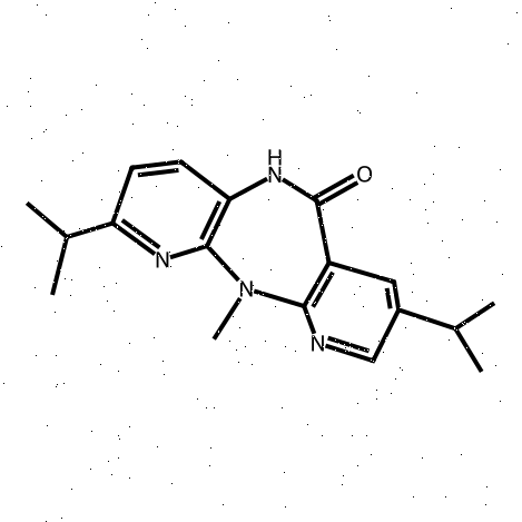 CC(C)c1cnc2c(c1)C(=O)Nc1ccc(C(C)C)nc1N2C